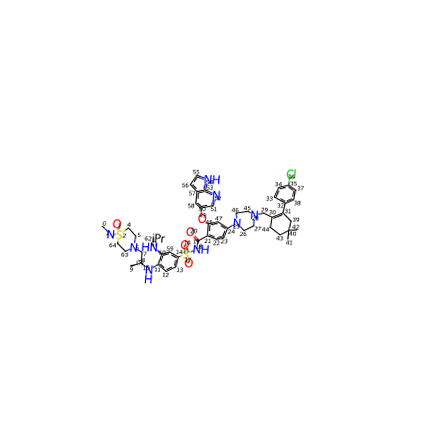 CN=S1(=O)CCN(C[C@H](C)Nc2ccc(S(=O)(=O)NC(=O)c3ccc(N4CCN(CC5=C(c6ccc(Cl)cc6)CC(C)(C)CC5)CC4)cc3Oc3cnc4[nH]ccc4c3)cc2NC(C)C)CC1